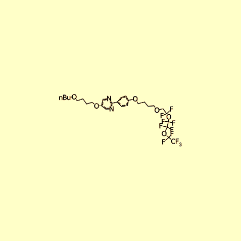 CCCCOCCCCOc1cnc(-c2ccc(OCCCCOCC(F)(F)OC(F)(F)C(F)(F)OC(F)(F)C(F)(F)F)cc2)nc1